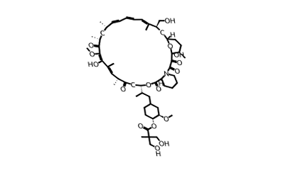 CO/C1=C(O)/C(C)=C/[C@@H](C)C(=O)C[C@@H](C(C)CC2CC[C@@H](OC(=O)C(C)(CO)CO)[C@H](OC)C2)OC(=O)[C@@H]2CCCCN2C(=O)C(=O)[C@]2(O)O[C@@H](CC[C@H]2C)C[C@H](CO)/C(C)=C/C=C/C=C/[C@@H](C)C[C@@H](C)C1=O